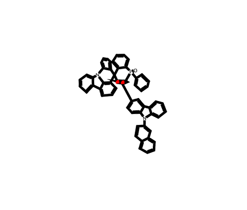 O=P1(c2ccccc2)c2ccccc2C2(c3ccccc3-n3c4ccccc4c4cccc2c43)c2ccc(-c3ccc4c(c3)c3ccccc3n4-c3ccc4ccccc4c3)cc21